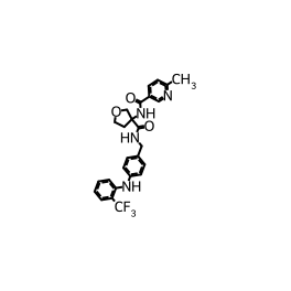 Cc1ccc(C(=O)NC2(C(=O)NCc3ccc(Nc4ccccc4C(F)(F)F)cc3)CCOC2)cn1